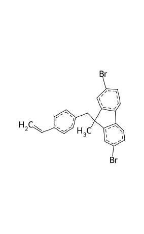 C=Cc1ccc(CC2(C)c3cc(Br)ccc3-c3ccc(Br)cc32)cc1